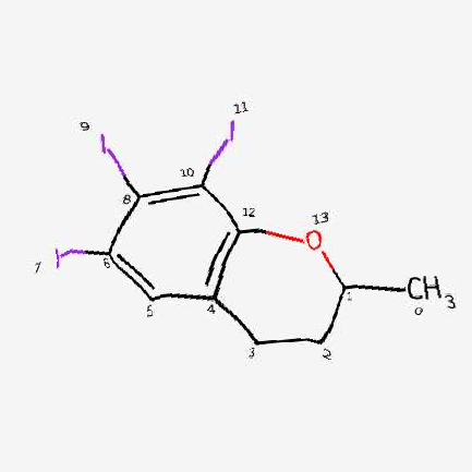 CC1CCc2cc(I)c(I)c(I)c2O1